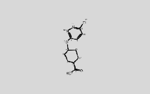 O=C(O)C1CCC(Oc2ccc(Cl)nn2)CC1